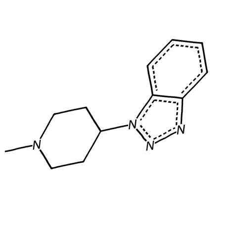 CN1CCC(n2nnc3ccccc32)CC1